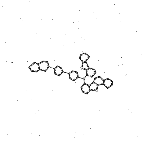 c1ccc2cc(-c3ccc(-c4ccc(N(c5cccc6c5sc5ccccc56)c5cccc6oc7c8ccccc8ccc7c56)cc4)cc3)ccc2c1